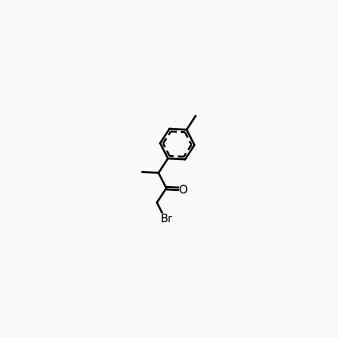 Cc1ccc(C(C)C(=O)CBr)cc1